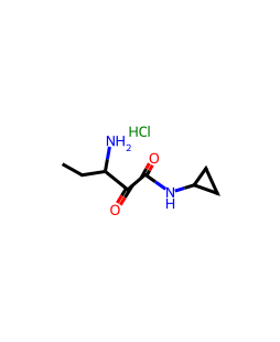 CCC(N)C(=O)C(=O)NC1CC1.Cl